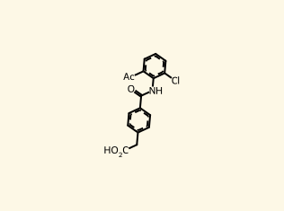 CC(=O)c1cccc(Cl)c1NC(=O)c1ccc(CC(=O)O)cc1